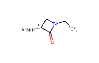 CC(=O)N[C@@H]1CN(CC(F)(F)F)C1=O